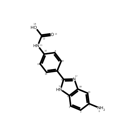 Nc1ccc2[nH]c(-c3ccc(NC(=O)O)cc3)nc2c1